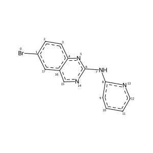 Brc1ccc2nc(Nc3ccccn3)ncc2c1